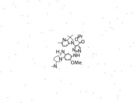 COc1cc(N2CCCC(N(C)C)C2)c(N)cc1Nc1ncc(C(=O)OC(C)C)c(N2CC(C)(C)c3nc(C)ccc32)n1